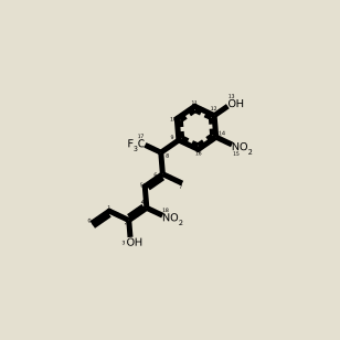 C=C/C(O)=C(\C=C(/C)C(c1ccc(O)c([N+](=O)[O-])c1)C(F)(F)F)[N+](=O)[O-]